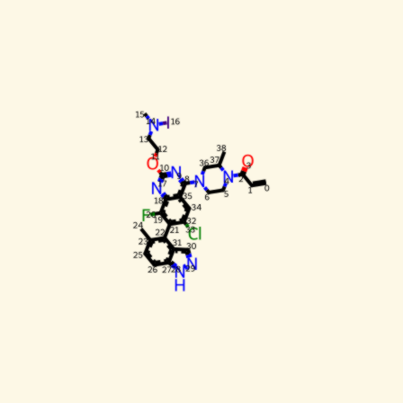 C=CC(=O)N1CCN(c2nc(OCCN(C)I)nc3c(F)c(-c4c(C)ccc5[nH]ncc45)c(Cl)cc23)CC1C